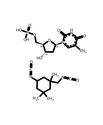 CC1(C)CC(N=C=O)CC(C)(CN=C=O)C1.Cc1cn([C@H]2C[C@H](O)[C@@H](COP(=O)(O)O)O2)c(=O)[nH]c1=O